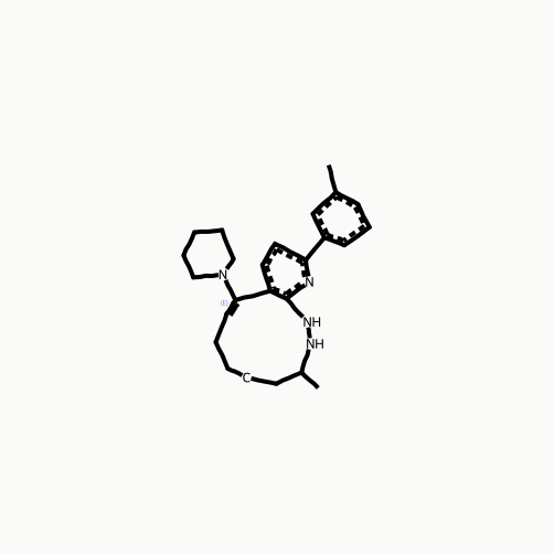 Cc1cccc(-c2ccc3c(n2)NNC(C)CCCC/C=C\3N2CCCCC2)c1